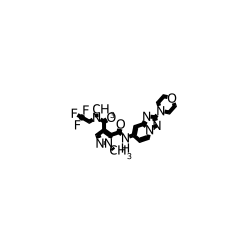 CN(CC(F)(F)F)C(=O)c1cnn(C)c1C(=O)Nc1ccn2nc(N3CCOCC3)nc2c1